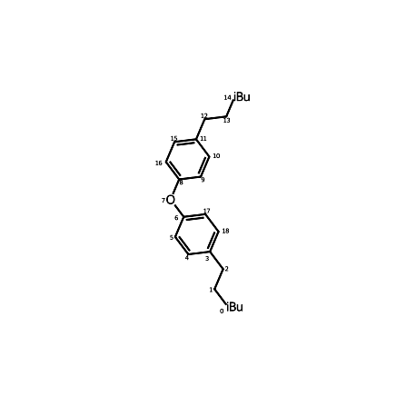 CCC(C)CCc1ccc(Oc2ccc(CCC(C)CC)cc2)cc1